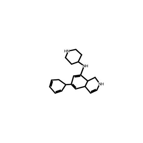 C1=CCC(C2=CC3C=CNCC3C(NC3CCNCC3)=C2)C=C1